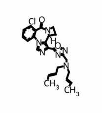 CC=CCN(CC=CC)Cc1noc(-c2ncn3c2[C@@H]2CCN2C(=O)c2c(Cl)cccc2-3)n1